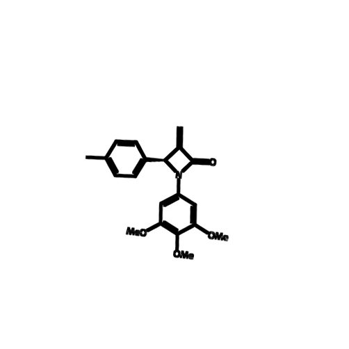 C=C1C(=O)N(c2cc(OC)c(OC)c(OC)c2)[C@H]1c1ccc(C)cc1